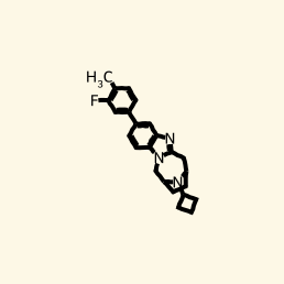 Cc1ccc(-c2ccc3c(c2)nc2n3CC3CCC(C2)N3C2CCC2)cc1F